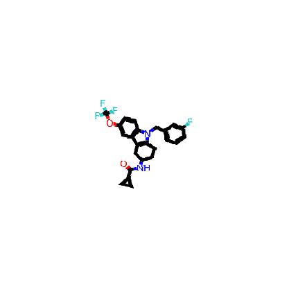 O=C(NC1CCc2c(c3cc(OC(F)(F)F)ccc3n2Cc2cccc(F)c2)C1)C1CC1